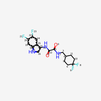 O=C(NCC1CCC(F)(F)CC1)C(=O)Nc1c[nH]c2cc(F)c(F)cc12